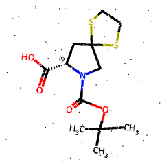 CC(C)(C)OC(=O)N1CC2(C[C@H]1C(=O)O)SCCS2